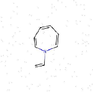 C=CN1C=CC=CC=C1